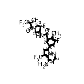 Cc1c(F)cc(-c2cc(C(F)(F)F)c3c(N)ncnn23)cc1C(=O)N[C@@H]1CN(C(=O)C(C)C(F)(F)F)C[C@@H]1F